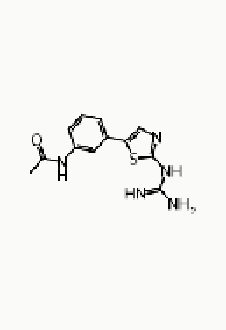 CC(=O)Nc1cccc(-c2cnc(NC(=N)N)s2)c1